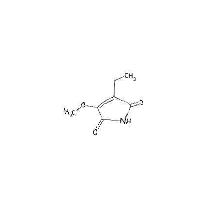 CCC1=C(OC)C(=O)NC1=O